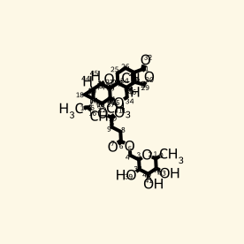 CC1OC(COC(=O)CCC(=O)O[C@@H]2[C@@]3(C(C)C)C[C@H]3[C@@H]3O[C@@]34[C@@]3(C)CCC5=C(COC5=O)[C@@H]3CO[C@]24C)C(O)C(O)C1O